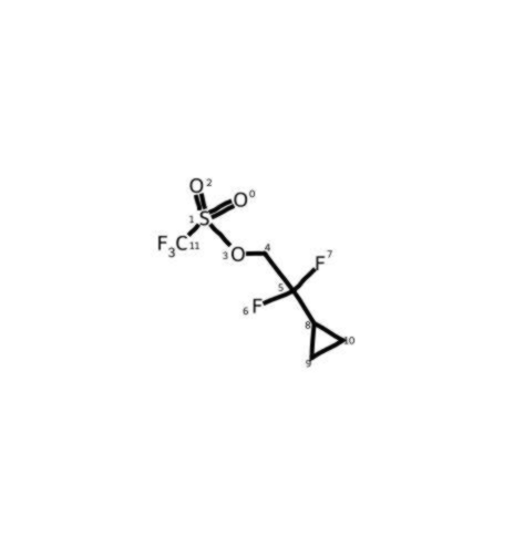 O=S(=O)(OCC(F)(F)C1CC1)C(F)(F)F